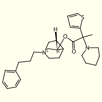 CC(C(=O)O[C@H]1C[N+]2(CCCc3ccccc3)CCC1CC2)(c1cccs1)N1CCCCC1